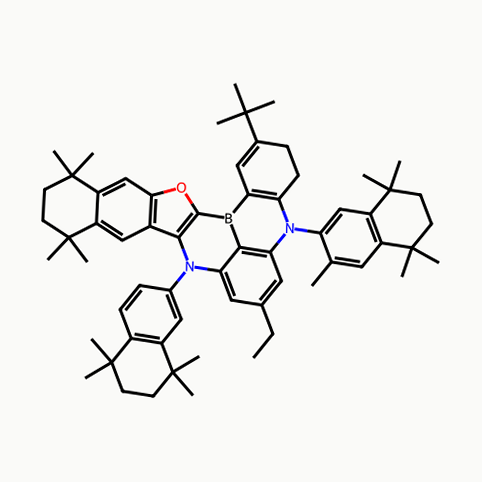 CCc1cc2c3c(c1)N(c1ccc4c(c1)C(C)(C)CCC4(C)C)c1c(oc4cc5c(cc14)C(C)(C)CCC5(C)C)B3C1=C(CCC(C(C)(C)C)=C1)N2c1cc2c(cc1C)C(C)(C)CCC2(C)C